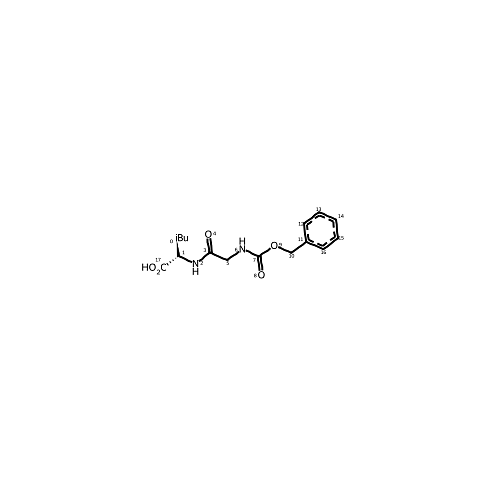 CC[C@H](C)[C@H](NC(=O)CNC(=O)OCc1ccccc1)C(=O)O